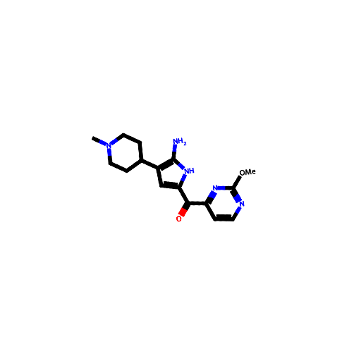 COc1nccc(C(=O)c2cc(C3CCN(C)CC3)c(N)[nH]2)n1